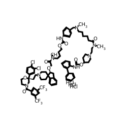 CN(CCCCCC(=O)N(C)CCN1CCC(OC(=O)Nc2ccccc2-c2ccccc2)CC1)Cc1ccc(NC(=O)OCCCCN(C)C(=O)CO[C@H]2Cc3ccccc3C23CCN(CC[C@@]2(c4ccc(Cl)c(Cl)c4)CN(C(=O)c4cc(C(F)(F)F)cc(C(F)(F)F)c4)CCO2)CC3)cc1.Cl.Cl.Cl